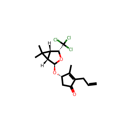 C=CCC1=C(C)[C@@H](O[C@@H]2O[C@@H](C(Cl)(Cl)Cl)[C@@H]3[C@H]2C3(C)C)CC1=O